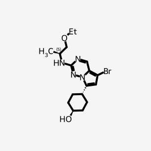 CCOC[C@H](C)Nc1ncc2c(Br)cc([C@H]3CC[C@H](O)CC3)n2n1